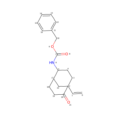 C=CC12CCC(NC(=O)OCc3ccccc3)C(CCC1=O)C2